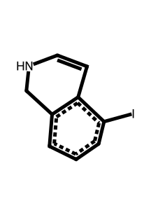 Ic1cccc2c1C=CNC2